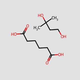 CC(C)(O)CCO.O=C(O)CCCCC(=O)O